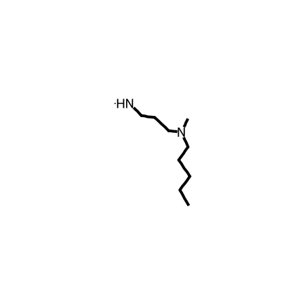 CCCCCN(C)CCC[NH]